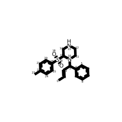 CC=CC(c1ccccc1)N1CCNCC1S(=O)(=O)c1ccc(C)cc1